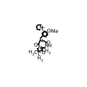 COc1ccc(CN2CC(=O)NCC3(C)C(=O)C(C)(C)CN3C(=O)C2)cc1CN1CCCCC1